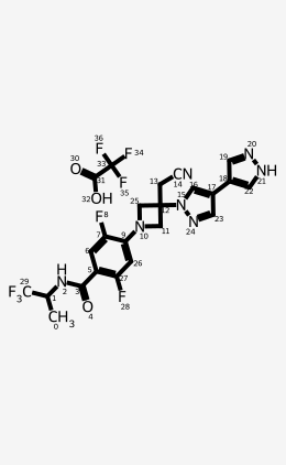 CC(NC(=O)c1cc(F)c(N2CC(CC#N)(n3cc(-c4cn[nH]c4)cn3)C2)cc1F)C(F)(F)F.O=C(O)C(F)(F)F